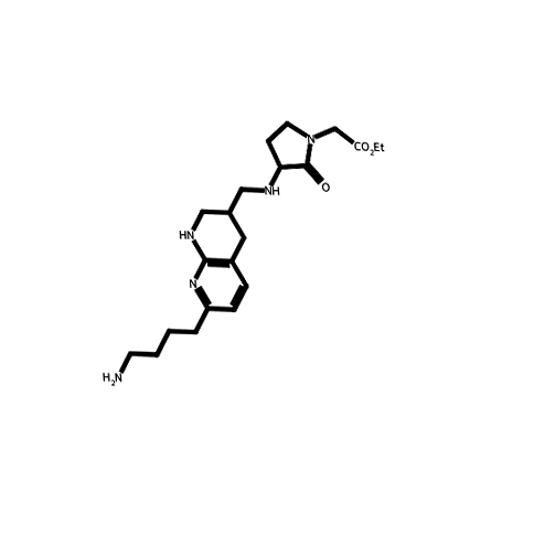 CCOC(=O)CN1CCC(NCC2CNc3nc(CCCCN)ccc3C2)C1=O